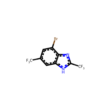 FC(F)(F)c1cc(Br)c2nc(C(F)(F)F)[nH]c2c1